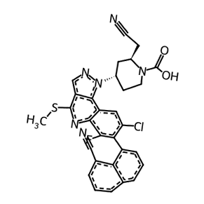 CSc1nc2c(F)c(-c3cccc4cccc(C#N)c34)c(Cl)cc2c2c1cnn2[C@H]1CCN(C(=O)O)[C@H](CC#N)C1